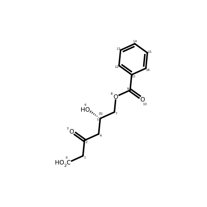 O=C(O)CC(=O)C[C@H](O)COC(=O)c1ccccc1